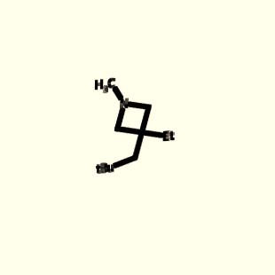 CCC1(CC(C)(C)C)CN(C)C1